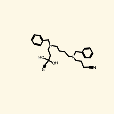 N#CCCCN(CCCCN(CCC(O)(O)C#N)Cc1ccccc1)Cc1ccccc1